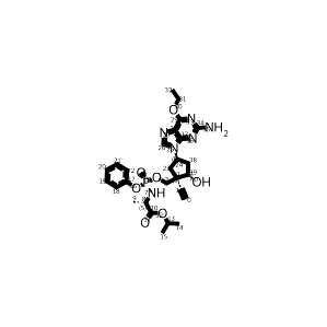 C#C[C@]1(CO[P@@](=O)(N[C@@H](C)C(=O)OC(C)C)Oc2ccccc2)C[C@@H](n2cnc3c(OCC)nc(N)nc32)C[C@@H]1O